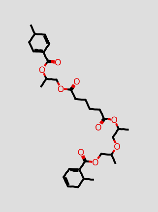 CC1C=CC(C(=O)OC(C)COC(=O)CCCCC(=O)OC(C)COC(C)COC(=O)C2=CC=CCC2C)=CC1